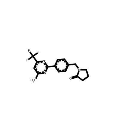 Cc1cc(C(F)(F)F)nc(-c2ccc(CN3CCCC3=O)cc2)n1